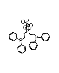 C[PH](CCP(c1ccccc1)c1ccccc1)(CCP(c1ccccc1)c1ccccc1)OS(C)(=O)=O